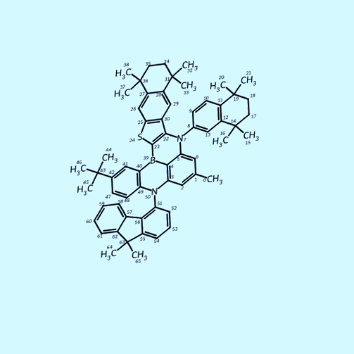 Cc1cc2c3c(c1)N(c1ccc4c(c1)C(C)(C)CCC4(C)C)c1c(sc4cc5c(cc14)C(C)(C)CCC5(C)C)B3c1cc(C(C)(C)C)ccc1N2c1cccc2c1-c1ccccc1C2(C)C